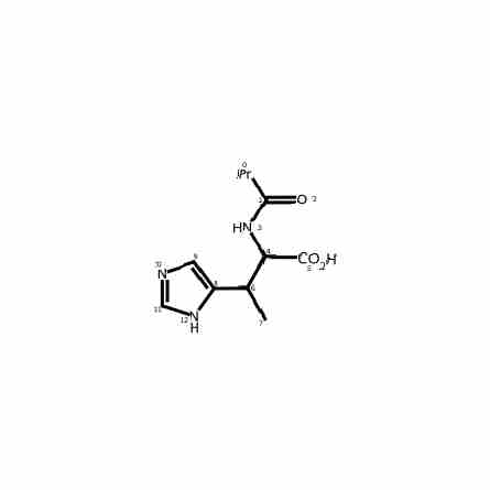 CC(C)C(=O)NC(C(=O)O)C(C)c1cnc[nH]1